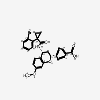 COc1ccc2c(c1)O[C@@H](c1ccc(C(=O)O)cc1)C[C@H]2NC(=O)C1(c2ccccc2Br)CC1